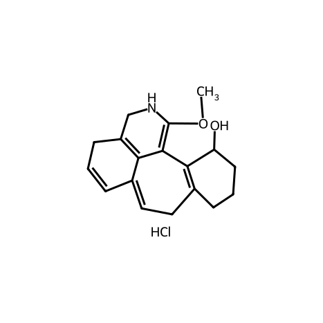 COC1=C2C3=C(CC=CC3=CCC3=C2C(O)CCC3)CN1.Cl